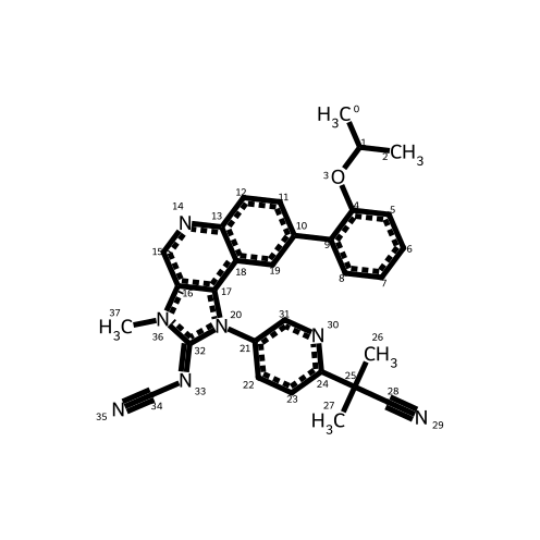 CC(C)Oc1ccccc1-c1ccc2ncc3c(c2c1)n(-c1ccc(C(C)(C)C#N)nc1)c(=NC#N)n3C